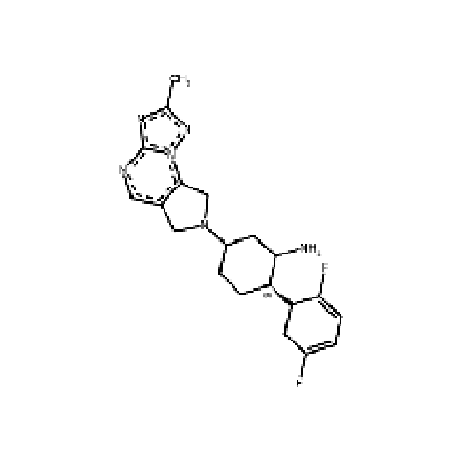 Cc1nc2ncc3c(n2n1)CN(C1CC[C@H](C2CC(F)=CC=C2F)C(N)C1)C3